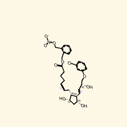 O=C(CCC/C=C\C[C@@H]1[C@@H](/C=C/[C@@H](O)COc2cccc(Cl)c2)[C@H](O)C[C@@H]1O)OCc1ccccc1CO[N+](=O)[O-]